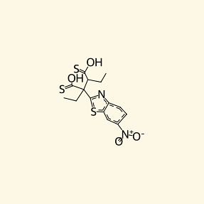 CCC(C(O)=S)C(CC)(C(O)=S)c1nc2ccc([N+](=O)[O-])cc2s1